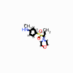 C=CC(N1CCOCC1)S(=O)(=O)c1ccc(NC)cc1